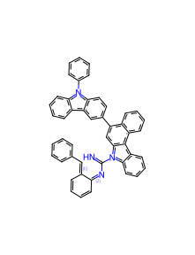 N=C(/N=C1/C=CC=C/C1=C\c1ccccc1)n1c2ccccc2c2c3ccccc3c(-c3ccc4c(c3)c3ccccc3n4-c3ccccc3)cc21